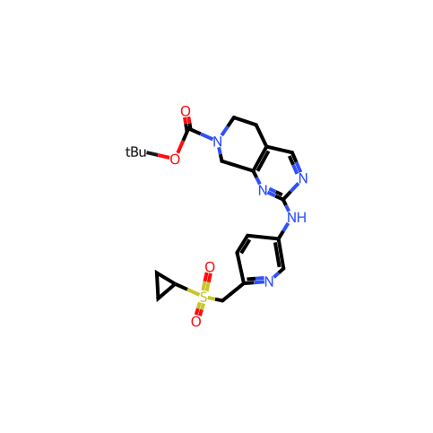 CC(C)(C)OC(=O)N1CCc2cnc(Nc3ccc(CS(=O)(=O)C4CC4)nc3)nc2C1